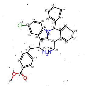 COC(=O)c1ccc(CC(C)c2cn(C(c3ccccc3)c3ccccc3CCN)c3ccc(Cl)cc23)cc1